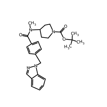 CN(C(=O)c1ccc(Cn2ncc3ccccc32)cc1)C1CCN(C(=O)OC(C)(C)C)CC1